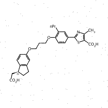 CCCc1cc(-c2nc(C)c(C(=O)O)s2)ccc1OCCCOc1ccc2c(c1)CC[C@H]2CC(=O)O